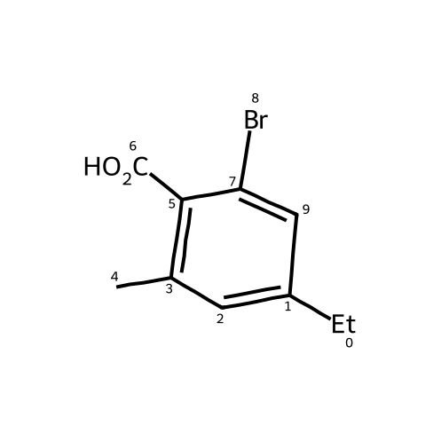 CCc1cc(C)c(C(=O)O)c(Br)c1